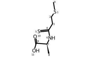 CSCCC(=S)N[C@@H](C)C(=O)O